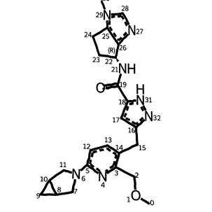 COCc1nc(N2CC3CC3C2)ccc1Cc1cc(C(=O)N[C@@H]2CCc3c2ncn3C)[nH]n1